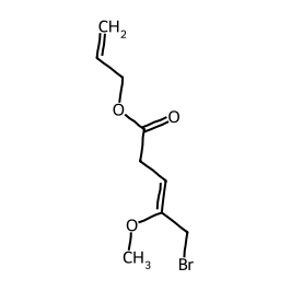 C=CCOC(=O)C/C=C(/CBr)OC